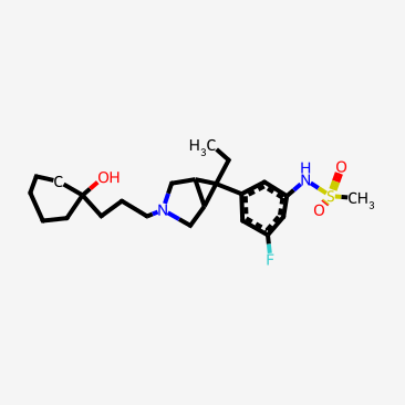 CCC1(c2cc(F)cc(NS(C)(=O)=O)c2)C2CN(CCCC3(O)CCCCC3)CC21